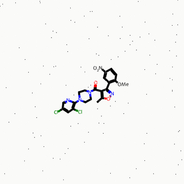 COc1ccc([N+](=O)[O-])cc1-c1noc(C)c1C(=O)N1CCN(c2ncc(Cl)cc2Cl)CC1